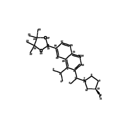 CC(C)c1c(C(C)N2CC[C@@H](F)C2)cnc2ccc(B3OC(C)(C)C(C)(C)O3)cc12